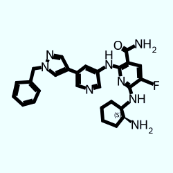 NC(=O)c1cc(F)c(NC2CCCC[C@@H]2N)nc1Nc1cncc(-c2cnn(Cc3ccccc3)c2)c1